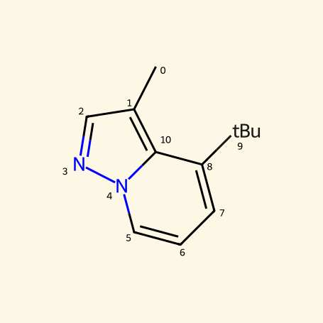 Cc1cnn2cccc(C(C)(C)C)c12